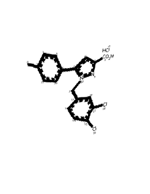 Cc1ccc(-c2cc(C(=O)O)nn2Cc2ccc(Cl)c(Cl)c2)cc1.Cl